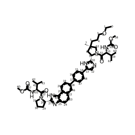 CCOCCC[C@]1(C)C[C@@H](c2ncc(-c3ccc(-c4ccc5c(ccc6nc([C@@H]7CCCN7C(=O)[C@@H](NC(=O)OC)C(C)C)[nH]c65)c4)cc3)[nH]2)N(C(=O)[C@@H](NC(=O)OC)C(C)C)C1